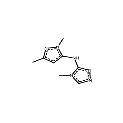 Cc1cc(Nc2nncn2C)n(C)n1